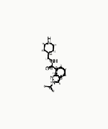 CC(C)n1cc2cccc(C(=O)NCC3CCNCC3)c2n1